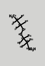 CC(F)(F)C(F)(F)OOC(F)(F)C(F)(F)S(=O)(=O)O